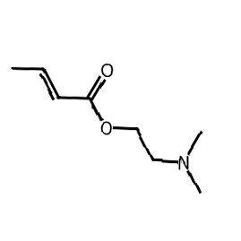 CC=CC(=O)OCCN(C)C